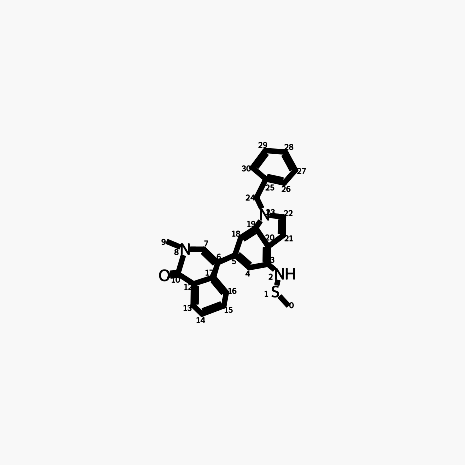 CSNc1cc(-c2cn(C)c(=O)c3ccccc23)cc2c1ccn2Cc1ccccc1